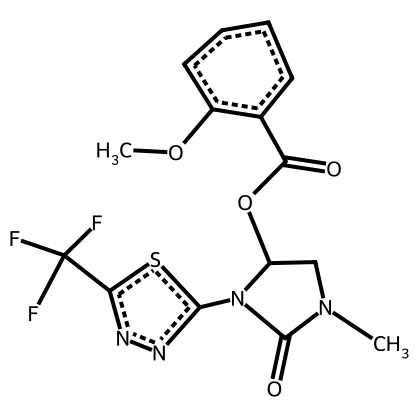 COc1ccccc1C(=O)OC1CN(C)C(=O)N1c1nnc(C(F)(F)F)s1